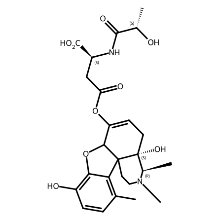 Cc1ccc(O)c2c1C13CCN(C)[C@H](C)[C@]1(O)CC=C(OC(=O)C[C@H](NC(=O)[C@H](C)O)C(=O)O)C3O2